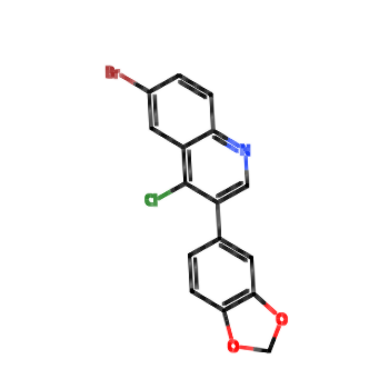 Clc1c(-c2ccc3c(c2)OCO3)cnc2ccc(Br)cc12